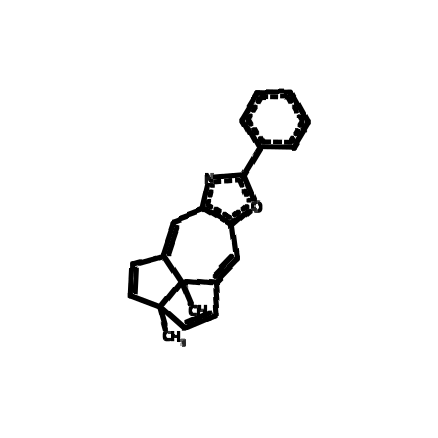 CC12C=CC3=Cc4nc(-c5ccccc5)oc4C=C(C=C1)C32C